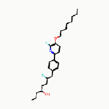 CCCCCCCCOc1ccc(-c2ccc(CC(F)CCC(O)CCC)cc2)nc1F